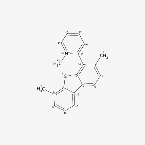 Cc1ccc2c(sc3c(C)cccc32)c1-c1cccc[n+]1C